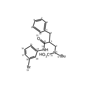 CC(C)(C)N(CC(Cc1ccccc1)C(=O)Nc1cccc(Br)c1)C(=O)O